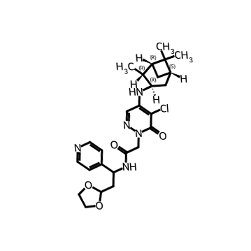 C[C@@H]1[C@H]2C[C@@H](C[C@H]1Nc1cnn(CC(=O)NC(CC3OCCO3)c3ccncc3)c(=O)c1Cl)C2(C)C